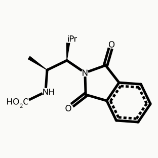 CC(C)[C@H]([C@H](C)NC(=O)O)N1C(=O)c2ccccc2C1=O